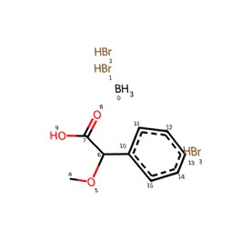 B.Br.Br.Br.COC(C(=O)O)c1ccccc1